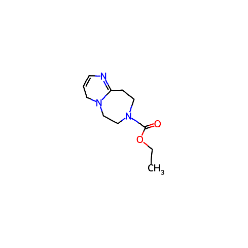 CCOC(=O)N1CCC2=NC=CCN2CC1